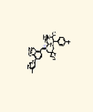 Cc1cn(-c2ccc(/C=C3\CC4(CSC4)CN4C3=NNC(=O)C4c3ccc(F)cc3)c3cnoc23)cn1